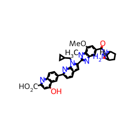 COc1cc(C(=O)N2CC3CCC2[C@@H]3N)cc2nc(-c3cc4ccc(-c5ccc6nc(C(=O)O)cc(O)c6c5)nc4n3CC3CC3)n(C)c12